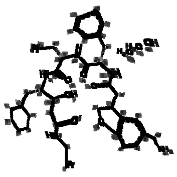 CC(C)CNC(=O)C[C@H](O)[C@H](CC1CCCCC1)NC(=O)[C@H](CC(C)C)NC(=O)[C@H](Cc1ccccc1)NC(=O)CC1COc2ccc(CN)cc21.Cl.O.O